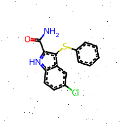 NC(=O)c1[nH]c2ccc(Cl)cc2c1Sc1ccccc1